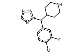 Clc1ccc(C(C2CCNCC2)n2ncnn2)cc1Cl